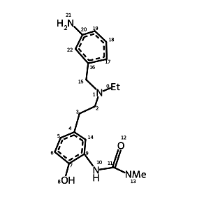 CCN(CCc1ccc(O)c(NC(=O)NC)c1)Cc1cccc(N)c1